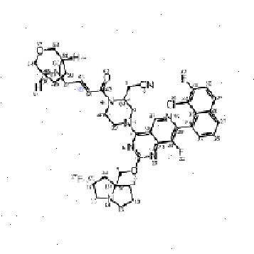 N#CC[C@H]1CN(c2nc(OC[C@@]34CCCN3C[C@H](F)C4)nc3c(F)c(-c4cccc5ccc(F)c(Cl)c45)ncc23)CCN1C(=O)/C=C/CN1[C@@H]2CC[C@H]1COC2